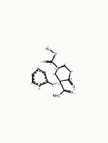 COC(=O)[C@@]1(Cc2ccccn2)CN(C(=O)OC(C)(C)C)CCC1=O